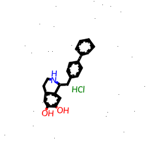 Cl.Oc1cc2c(cc1O)C(Cc1ccc(-c3ccccc3)cc1)NCC2